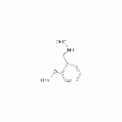 O=CNCc1ccccc1OC=O